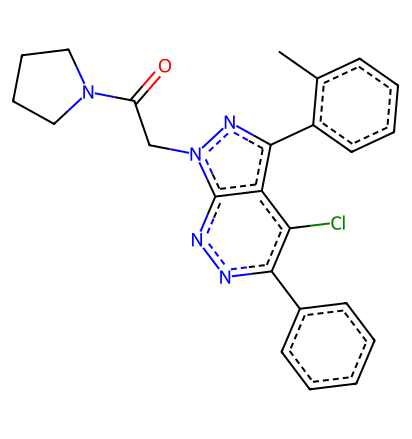 Cc1ccccc1-c1nn(CC(=O)N2CCCC2)c2nnc(-c3ccccc3)c(Cl)c12